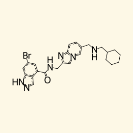 O=C(NCc1cn2cc(CNCC3CCCCC3)ccc2n1)c1cc(Br)cc2[nH]ncc12